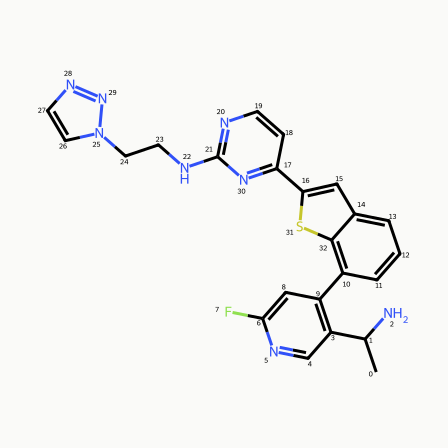 CC(N)c1cnc(F)cc1-c1cccc2cc(-c3ccnc(NCCn4ccnn4)n3)sc12